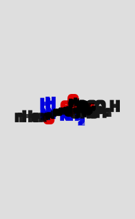 CCCCCCNC(=O)NCCCCC(N)C(=O)O[C@H]1[C@H](OC(C)=O)C[C@]23COC[C@]1(C)[C@@H]2CC[C@H]1C3=CC[C@@]2(C)[C@H](C(=O)O)[C@@](C)([C@H](C)C(C)C)CC[C@]12C